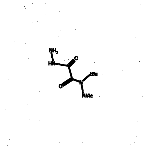 CNN(C(=O)C(=O)NN)C(C)(C)C